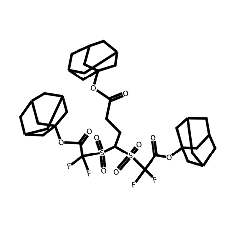 O=C(CCC(S(=O)(=O)C(F)(F)C(=O)OC12CC3CC(CC(C3)C1)C2)S(=O)(=O)C(F)(F)C(=O)OC12CC3CC(CC(C3)C1)C2)OC12CC3CC(CC(C3)C1)C2